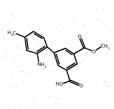 COC(=O)c1cc(C(=O)O)cc(-c2ccc(C)cc2N)c1